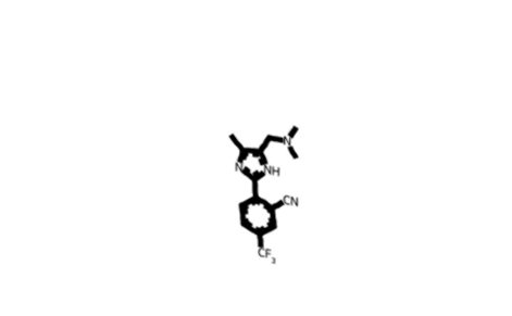 Cc1nc(-c2ccc(C(F)(F)F)cc2C#N)[nH]c1CN(C)C